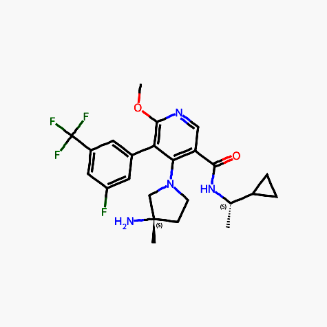 COc1ncc(C(=O)N[C@@H](C)C2CC2)c(N2CC[C@](C)(N)C2)c1-c1cc(F)cc(C(F)(F)F)c1